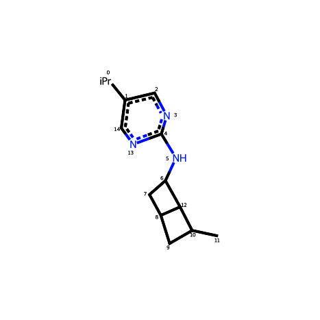 CC(C)c1cnc(NC2CC3CC(C)C32)nc1